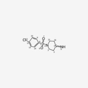 N=S1CCN(S(=O)(=O)c2ccc(Cl)cc2)CC1